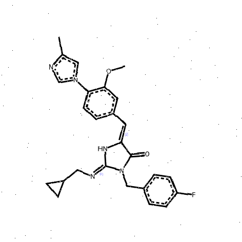 COc1cc(/C=C2\N/C(=N\CC3CC3)N(Cc3ccc(F)cc3)C2=O)ccc1-n1cnc(C)c1